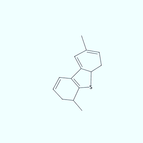 CC1=CCC2SC3=C(C=CCC3C)C2=C1